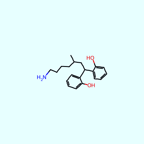 CC(CCCCN)CC(c1ccccc1O)c1ccccc1O